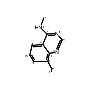 CNc1ncnc2c(F)cccc12